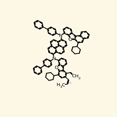 C=Cc1c(/C=C\C)cc(C2CCCCC2)c2oc3c(N(c4ccc(-c5ccccc5)cc4)c4ccc5ccc6c(N(c7ccc(-c8ccccc8)cc7)c7cccc8c7oc7c(C9CCCCC9)cc9ccccc9c78)ccc7ccc4c5c76)cccc3c12